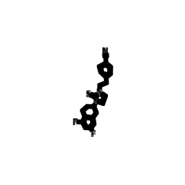 N#Cc1ccc(CCn2ccn(C3CCc4c(F)cc(F)cc4C3)c2=S)cc1